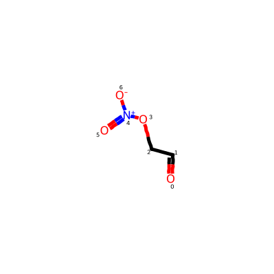 O=CCO[N+](=O)[O-]